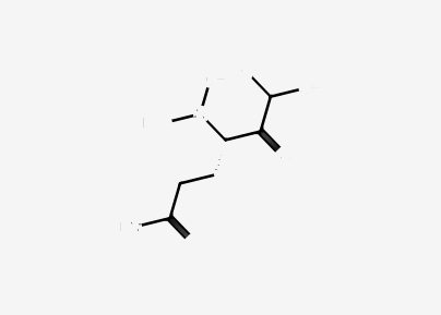 CC(C)C(=O)[C@H](CCC(N)=O)N(C)C